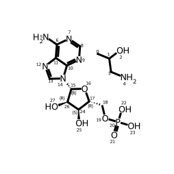 CC(O)CN.Nc1ncnc2c1ncn2[C@@H]1O[C@H](COP(=O)(O)O)[C@@H](O)[C@H]1O